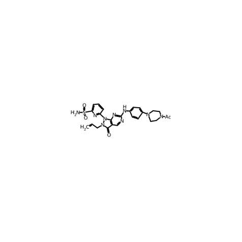 C=CCn1c(=O)c2cnc(Nc3ccc(N4CCN(C(C)=O)CC4)cc3)nc2n1-c1cccc(S(N)(=O)=O)n1